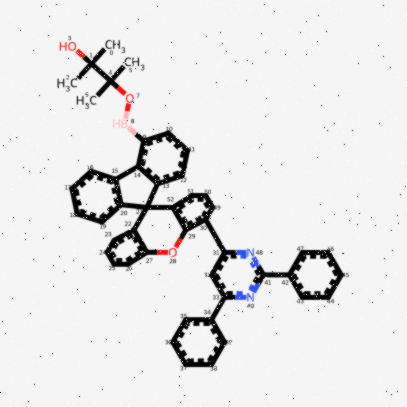 CC(C)(O)C(C)(C)OBc1cccc2c1-c1ccccc1C21c2ccccc2Oc2c(-c3cc(-c4ccccc4)nc(-c4ccccc4)n3)cccc21